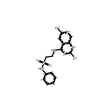 O=S(=O)(CCNc1nc(Cl)nc2cnc(Cl)cc12)Nc1ccccc1